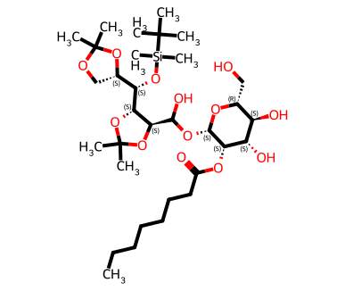 CCCCCCCC(=O)O[C@@H]1[C@H](OC(O)[C@H]2OC(C)(C)O[C@@H]2[C@@H](O[Si](C)(C)C(C)(C)C)[C@@H]2COC(C)(C)O2)O[C@H](CO)[C@@H](O)[C@@H]1O